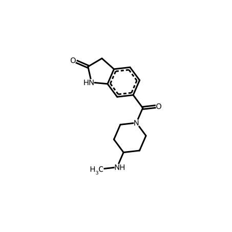 CNC1CCN(C(=O)c2ccc3c(c2)NC(=O)C3)CC1